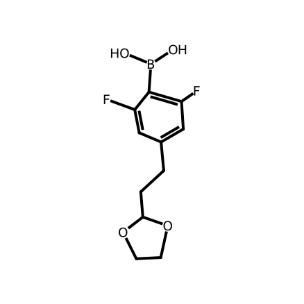 OB(O)c1c(F)cc(CCC2OCCO2)cc1F